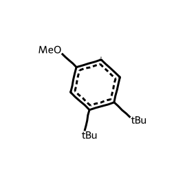 COc1[c]cc(C(C)(C)C)c(C(C)(C)C)c1